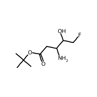 CC(C)(C)OC(=O)CC(N)C(O)CF